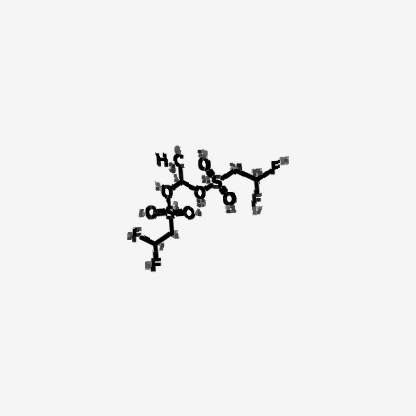 CC(OS(=O)(=O)CC(F)F)OS(=O)(=O)CC(F)F